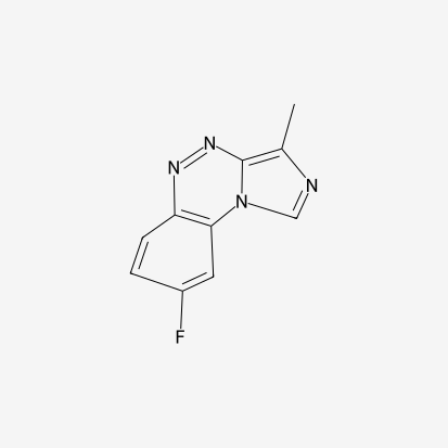 Cc1ncn2c1nnc1ccc(F)cc12